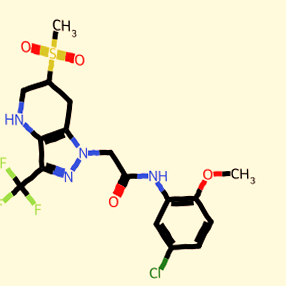 COc1ccc(Cl)cc1NC(=O)Cn1nc(C(F)(F)F)c2c1CC(S(C)(=O)=O)CN2